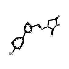 N#Cc1ccc(-c2ccc(C=NN3CC(=O)NC3=O)o2)cc1